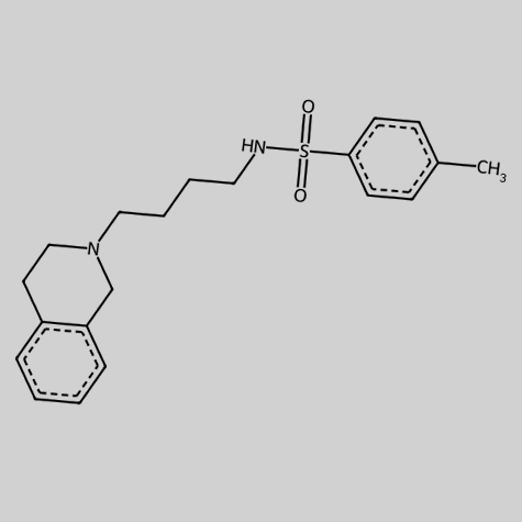 Cc1ccc(S(=O)(=O)NCCCCN2CCc3ccccc3C2)cc1